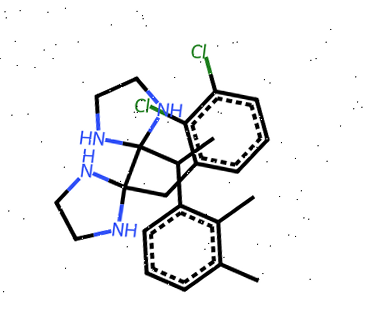 Cc1cccc(C(C)C2(C3(Cc4cccc(Cl)c4Cl)NCCN3)NCCN2)c1C